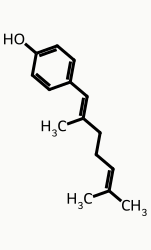 CC(C)=CCC/C(C)=C/c1ccc(O)cc1